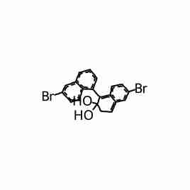 OC1(O)CC=c2cc(Br)ccc2=C1c1cccc2cc(Br)ccc12